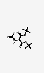 C[C@H](C(=O)O)C(C(=O)OC(C)(C)C)C(=O)OC(C)(C)C